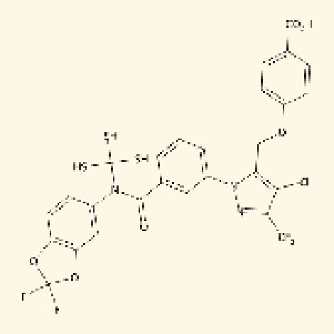 O=C(O)c1ccc(OCc2c(Cl)c(C(F)(F)F)nn2-c2cccc(C(=O)N(c3ccc4c(c3)OC(F)(F)O4)C(S)(S)S)c2)cc1